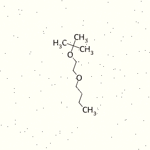 CCCCOC[CH]OC(C)(C)C